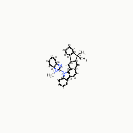 Cn1c(-n2c3ccccc3c3ccc4cc5c(cc4c32)-c2ccccc2C5(C)C)nc2ccccc21